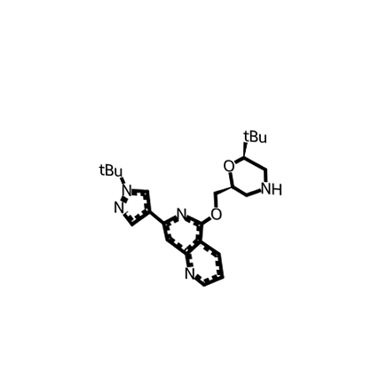 CC(C)(C)[C@H]1CNC[C@@H](COc2nc(-c3cnn(C(C)(C)C)c3)cc3ncccc23)O1